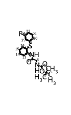 CC(C)(C)OC(=O)NCC(=O)Nc1ccccc1Sc1cccc(F)c1